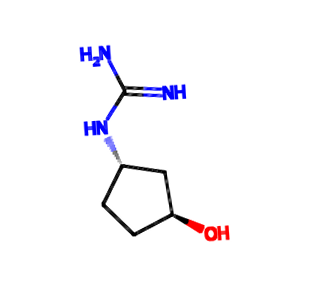 N=C(N)N[C@H]1CC[C@H](O)C1